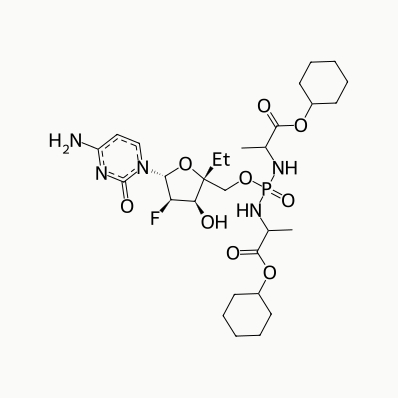 CC[C@]1(COP(=O)(NC(C)C(=O)OC2CCCCC2)NC(C)C(=O)OC2CCCCC2)O[C@@H](n2ccc(N)nc2=O)[C@H](F)[C@@H]1O